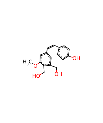 COc1cc(/C=C\c2ccc(O)cc2)cc(CO)c1CO